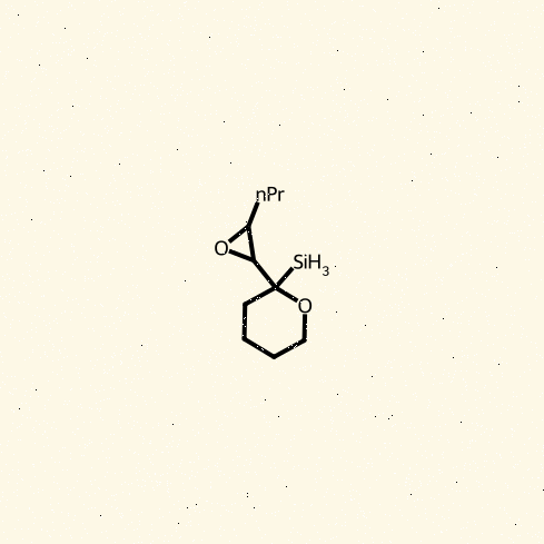 CCCC1OC1C1([SiH3])CCCCO1